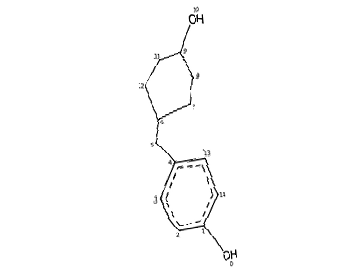 Oc1ccc(CC2CCC(O)CC2)cc1